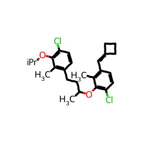 Cc1c(C=C2CCC2)ccc(Cl)c1OC(C)CCc1ccc(Cl)c(OC(C)C)c1C